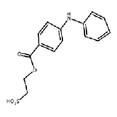 O=C(OCCS(=O)(=O)O)c1ccc(Nc2ccccc2)cc1